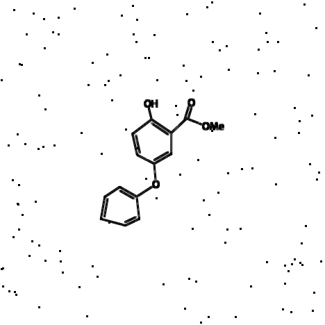 COC(=O)c1cc(Oc2ccccc2)ccc1O